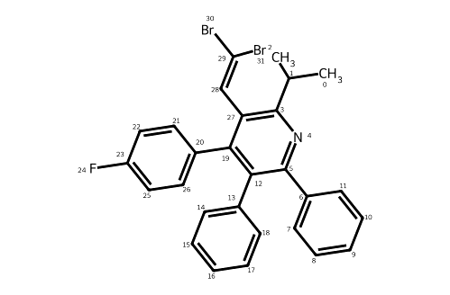 CC(C)c1nc(-c2ccccc2)c(-c2ccccc2)c(-c2ccc(F)cc2)c1C=C(Br)Br